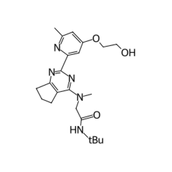 Cc1cc(OCCO)cc(-c2nc3c(c(N(C)CC(=O)NC(C)(C)C)n2)CCC3)n1